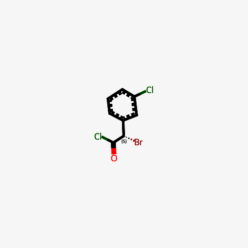 O=C(Cl)[C@@H](Br)c1cccc(Cl)c1